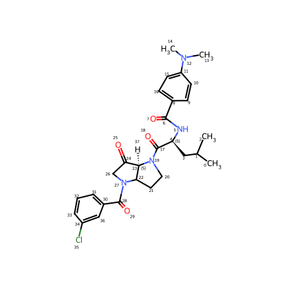 CC(C)C[C@H](NC(=O)c1ccc(N(C)C)cc1)C(=O)N1CCC2[C@H]1C(=O)CN2C(=O)c1cccc(Cl)c1